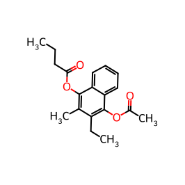 CCCC(=O)Oc1c(C)c(CC)c(OC(C)=O)c2ccccc12